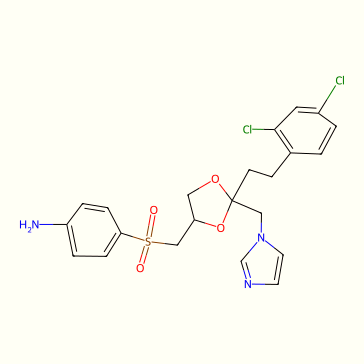 Nc1ccc(S(=O)(=O)CC2COC(CCc3ccc(Cl)cc3Cl)(Cn3ccnc3)O2)cc1